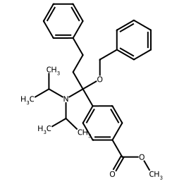 COC(=O)c1ccc(C(CCc2ccccc2)(OCc2ccccc2)N(C(C)C)C(C)C)cc1